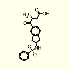 CC(CC(=O)O)C(=O)c1ccc2c(c1)CC(NS(=O)(=O)c1ccccc1)C2